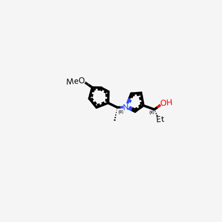 CC[C@@H](O)c1ccn([C@H](C)c2ccc(OC)cc2)c1